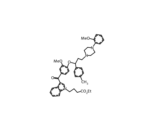 CCOC(=O)CCCn1cc(C(=O)c2ccc(OC(CCN3CCN(c4ccccc4OC)CC3)c3ccc(C)cc3)c(OC)c2)c2ccccc21